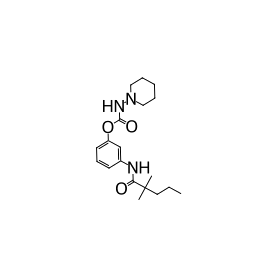 CCCC(C)(C)C(=O)Nc1cccc(OC(=O)NN2CCCCC2)c1